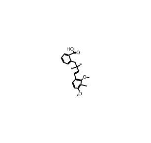 COc1ccc(/C=C/C(F)(F)Cc2ccccc2C(=O)O)c(OC)c1C